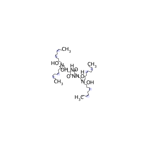 CC/C=C\C/C=C\CC(O)CN(CCCCC1NC(=O)C(CCCCN(CC(O)C/C=C\C/C=C\CC)CC(O)C/C=C\C/C=C\CC)NC1=O)CC(O)C/C=C\C/C=C\CC